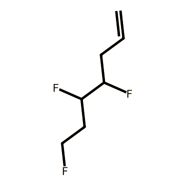 C=CCC(F)C(F)CCF